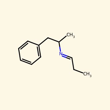 CC/C=N/C(C)Cc1ccccc1